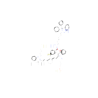 CC1(C)/C(=C\C=C2/CCCC(/C=C/C3N(CCCCS)c4ccccc4C3(C)C)=C2Sc2ccc(C(=O)NCCCCCCNC(c3ccccc3)(c3ccccc3)c3ccccc3)cc2)N(CCCCOS)c2ccccc21